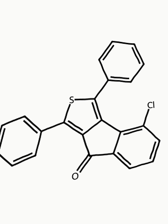 O=C1c2cccc(Cl)c2-c2c(-c3ccccc3)sc(-c3ccccc3)c21